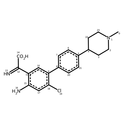 CN1CCC(c2ccc(-c3cc(C(=N)C(=O)O)c(N)cc3Cl)cc2)CC1